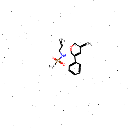 C=C1C=C(c2ccccc2)COC1.C=CCNS(C)(=O)=O